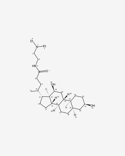 CCN(CC)CCNC(=O)CCC(C)[C@H]1CC[C@H]2[C@@H]3CC[C@@H]4C[C@H](O)CC[C@]4(C)[C@H]3C[C@H](O)[C@]12C